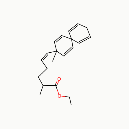 CCOC(=O)C(C)CC/C=C\C1(C)C=CC2(C=CCC=C2)C=C1